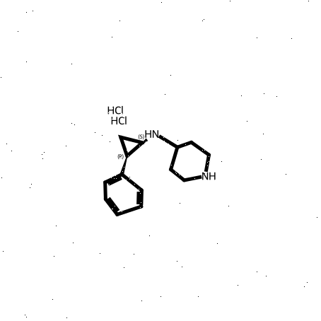 Cl.Cl.c1ccc([C@H]2C[C@@H]2NC2CCNCC2)cc1